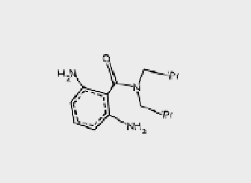 CC(C)CN(CC(C)C)C(=O)c1c(N)cccc1N